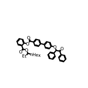 CCCCCCC(CC)OC(=O)c1ccccc1OC(=O)c1ccc(-c2ccc(OC(C(=O)c3ccccc3)c3ccccc3)cc2)cc1